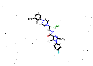 Cc1cccc(N2CCN(CCNC(=O)c3nc(C)n(-c4ccc(F)cc4)c3C)CC2)c1C.Cl.Cl